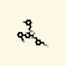 N#Cc1ccccc1-c1ccc(C(=O)NCc2cccc(CN)c2)c(NCCc2cccc(F)c2)n1